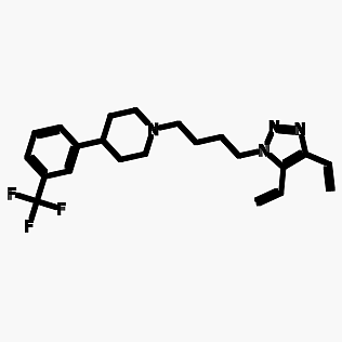 C=Cc1nnn(CCCCN2CCC(c3cccc(C(F)(F)F)c3)CC2)c1C=C